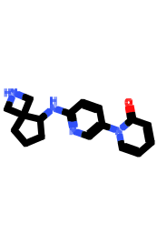 O=c1ccccn1-c1ccc(NC2CCCC23CNC3)nc1